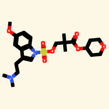 COc1ccc2c(c1)c(CCN(C)C)cn2S(=O)(=O)OCC(C)(C)C(=O)OC1CCOCC1